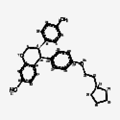 Oc1ccc([C@H]2COc3cc(O)ccc3[C@@H]2c2ccc(OCCN3CCCC3)cc2)cc1